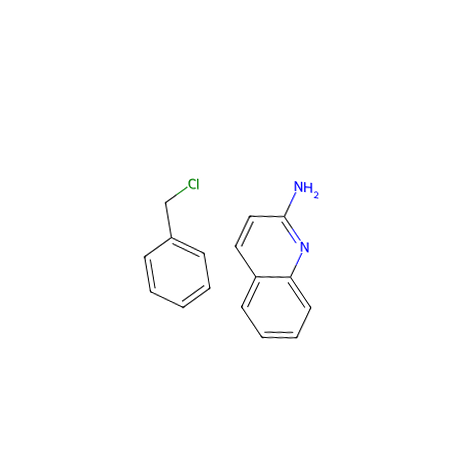 ClCc1ccccc1.Nc1ccc2ccccc2n1